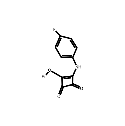 CCOc1c(Nc2ccc(F)cc2)c(=O)c1=O